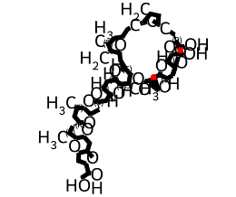 C=C1CC2CC[C@@]34OC5C6OC(O)(C(O3)[C@@H]6OC3CCC(CC(=O)OC6[C@H](CC7OC(CCC1O2)C[C@@H](C)C7=C)O[C@H]1C[C@H]2O[C@@]7(CC8O[C@]9(C[C@H](C)C%10OC%11CC(C(O)CO)OC%11CC%10O9)C[C@H](C)C8O7)C[C@H]2O[C@H]1[C@@H]6C)O[C@@H]35)C4O